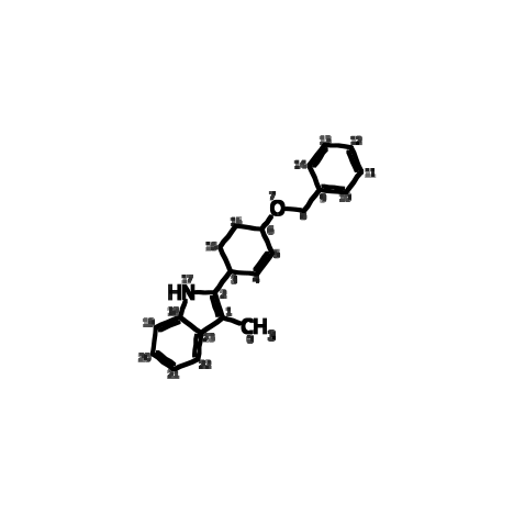 Cc1c(C2C=CC(OCc3ccccc3)CC2)[nH]c2ccccc12